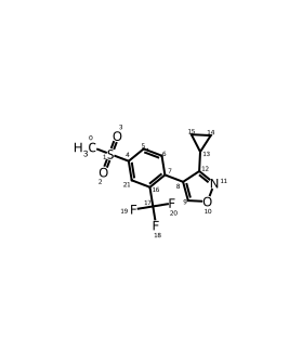 CS(=O)(=O)c1[c]cc(-c2conc2C2CC2)c(C(F)(F)F)c1